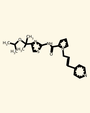 CC(C)OC(C)(C)c1csc(NC(=O)c2cccn2CC=Cc2ccncc2)n1